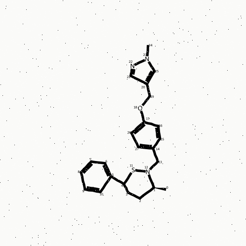 C[C@H]1CCC(c2ccccc2)SN1Cc1ccc(OCc2cnn(C)c2)cc1